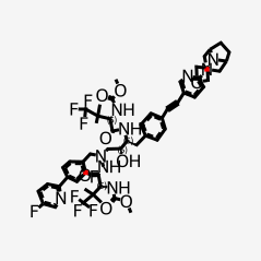 COC(=O)N[C@H](C(=O)N[C@@H](Cc1ccc(C#Cc2ccc(N3CC4CCC(C3)N4C3COC3)nc2)cc1)[C@@H](O)CN(Cc1ccc(-c2ccc(F)cn2)cc1F)NC(=O)[C@@H](NC(=O)OC)C(C)(C)C(F)(F)F)C(C)(C)C(F)(F)F